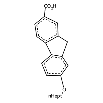 CCCCCCCOc1ccc2c(c1)Cc1cc(C(=O)O)ccc1-2